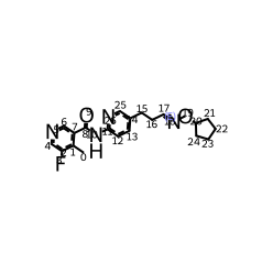 Cc1c(F)cncc1C(=O)Nc1ccc(CC/C=N/OC2CCCC2)cn1